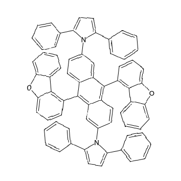 c1ccc(-c2ccc(-c3ccccc3)n2-c2ccc3c(-c4cccc5oc6ccccc6c45)c4cc(-n5c(-c6ccccc6)ccc5-c5ccccc5)ccc4c(-c4cccc5oc6ccccc6c45)c3c2)cc1